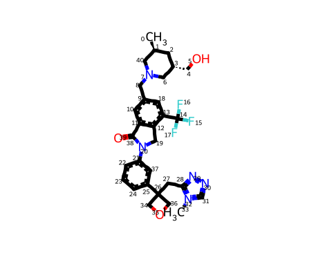 C[C@H]1C[C@H](CO)CN(Cc2cc3c(c(C(F)(F)F)c2)CN(c2cccc(C4(Cc5nncn5C)COC4)c2)C3=O)C1